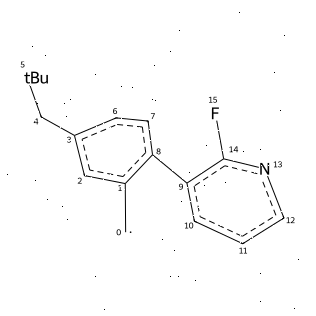 [CH2]c1cc(CC(C)(C)C)ccc1-c1cccnc1F